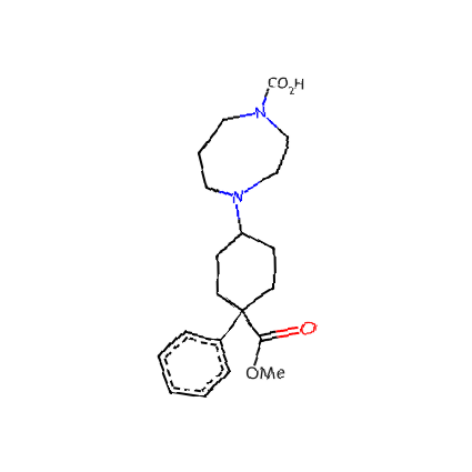 COC(=O)C1(c2ccccc2)CCC(N2CCCN(C(=O)O)CC2)CC1